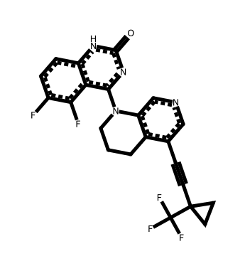 O=c1nc(N2CCCc3c(C#CC4(C(F)(F)F)CC4)cncc32)c2c(F)c(F)ccc2[nH]1